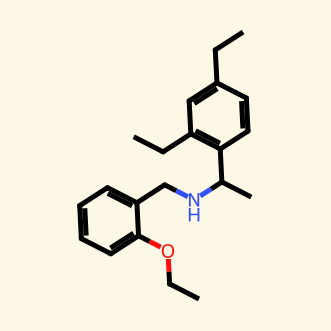 CCOc1ccccc1CNC(C)c1ccc(CC)cc1CC